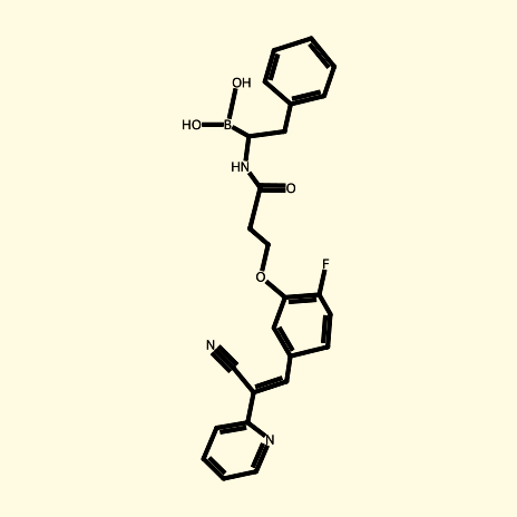 N#CC(=Cc1ccc(F)c(OCCC(=O)NC(Cc2ccccc2)B(O)O)c1)c1ccccn1